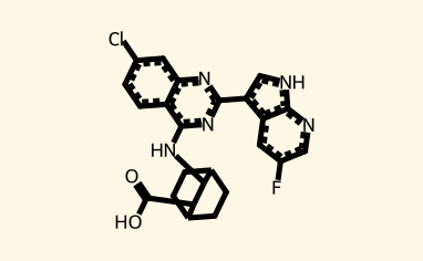 O=C(O)C1C2CCC(CC2)C1Nc1nc(-c2c[nH]c3ncc(F)cc23)nc2cc(Cl)ccc12